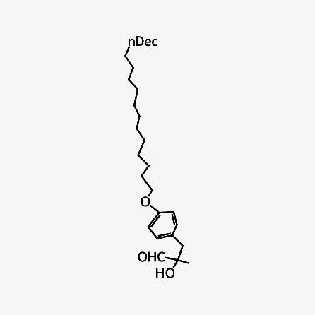 CCCCCCCCCCCCCCCCCCCCCCOc1ccc(CC(C)(O)C=O)cc1